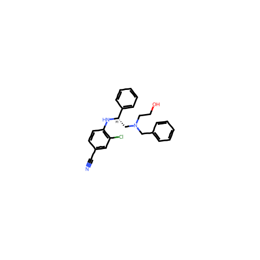 N#Cc1ccc(N[C@@H](CN(CCO)Cc2ccccc2)c2ccccc2)c(Cl)c1